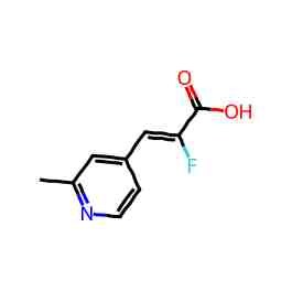 Cc1cc(/C=C(\F)C(=O)O)ccn1